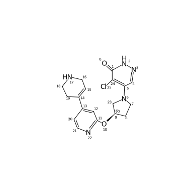 O=c1[nH]ncc(N2CC[C@@H](Oc3cc(C4=CCNCC4)ccn3)C2)c1Cl